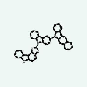 c1ccc2cc3c(cc2c1)c1ccccc1n3-c1ccc2c(c1)c1ccccc1n2-c1nc2c(ccc3oc4ccccc4c32)s1